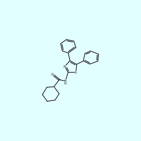 O=C(Nc1nc(-c2ccccc2)c(-c2ccccc2)s1)C1CCCCC1